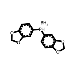 B.c1cc2c(cc1Pc1ccc3c(c1)OCO3)OCO2